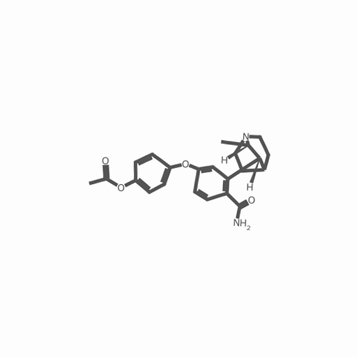 CC(=O)Oc1ccc(Oc2ccc(C(N)=O)c([C@H]3C4CCN(CC4)[C@H]3C)c2)cc1